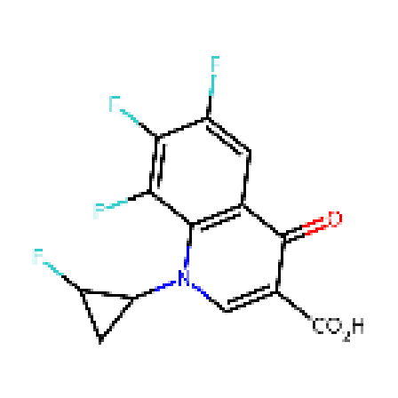 O=C(O)c1cn(C2CC2F)c2c(F)c(F)c(F)cc2c1=O